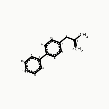 C=C(C)Cc1ccc(-c2ccncc2)cc1